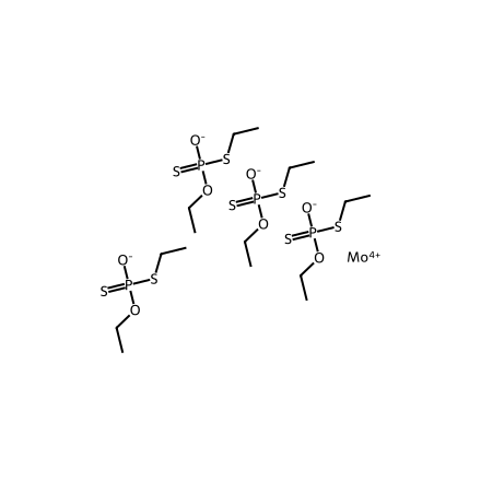 CCOP([O-])(=S)SCC.CCOP([O-])(=S)SCC.CCOP([O-])(=S)SCC.CCOP([O-])(=S)SCC.[Mo+4]